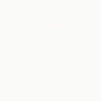 Bc1cc(Cc2ccc(C)cc2)ccc1C